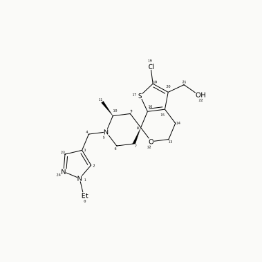 CCn1cc(CN2CC[C@]3(C[C@@H]2C)OCCc2c3sc(Cl)c2CO)cn1